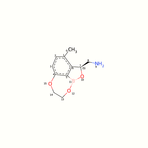 Cc1ccc2c3c1[C@@H](CN)OB3OCCO2